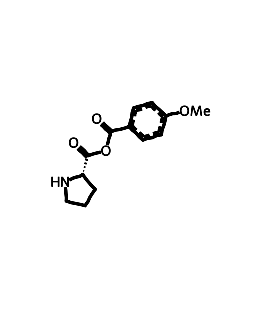 COc1ccc(C(=O)OC(=O)[C@@H]2CCCN2)cc1